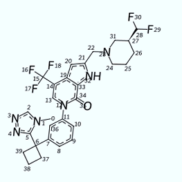 Cn1cnnc1C1(c2cccc(-n3cc(C(F)(F)F)c4cc(CN5CCC[C@H](C(F)F)C5)[nH]c4c3=O)c2)CCC1